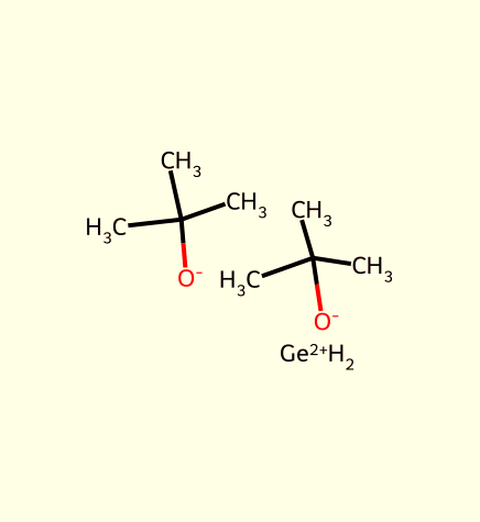 CC(C)(C)[O-].CC(C)(C)[O-].[GeH2+2]